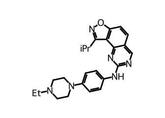 CCN1CCN(c2ccc(Nc3ncc4ccc5onc(C(C)C)c5c4n3)cc2)CC1